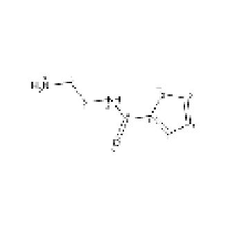 NCCNC(=O)c1cccs1